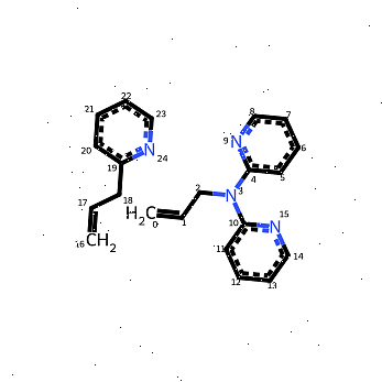 C=CCN(c1ccccn1)c1ccccn1.C=CCc1ccccn1